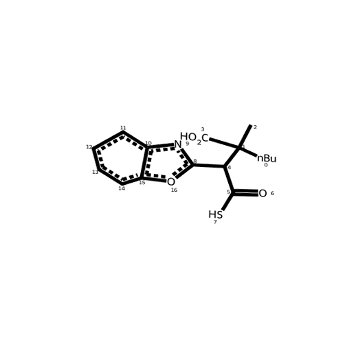 CCCCC(C)(C(=O)O)C(C(=O)S)c1nc2ccccc2o1